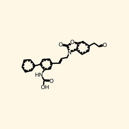 O=CCc1ccc2c(c1)oc(=O)n2CC=Cc1ccc(-c2ccccc2)c(NC(=O)O)c1